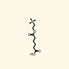 C[Si](C)(C)CCOC(=O)CCCCC(=O)O